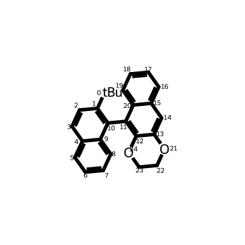 CC(C)(C)c1ccc2ccccc2c1-c1c2c(cc3ccccc13)OCCO2